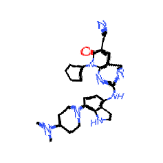 CN(C)C1CCN(c2ccc(Nc3ncc4cc(C#N)c(=O)n(C5CCCC5)c4n3)c3c2NCC3)CC1